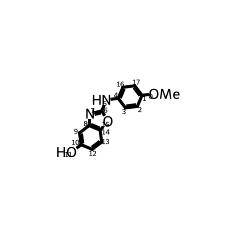 COc1ccc(Nc2nc3cc(O)ccc3o2)cc1